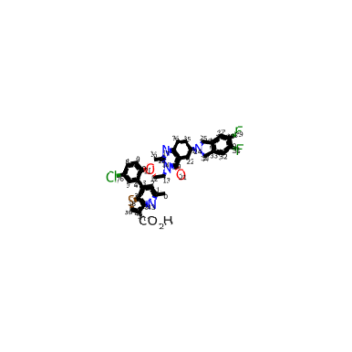 Cc1cc(-c2cc(Cl)ccc2OCCn2c(C)nc3c(c2=O)CC(N2Cc4cc(F)c(F)cc4C2)CC3)c2scc(C(=O)O)c2n1